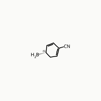 B[C@@H]1C=CC(C#N)=CC1